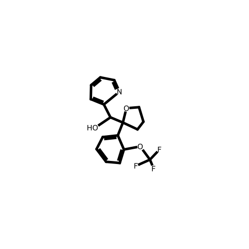 OC(c1ccccn1)C1(c2ccccc2OC(F)(F)F)CCCO1